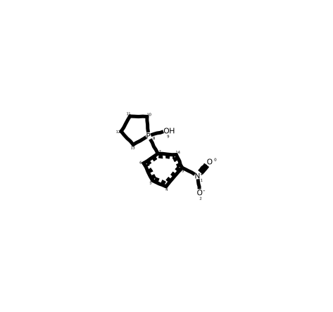 O=[N+]([O-])c1cccc([P]2(O)CCCC2)c1